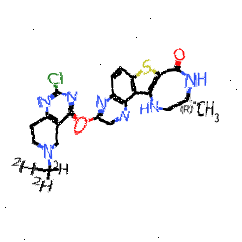 [2H]C([2H])([2H])N1CCc2nc(Cl)nc(Oc3cnc4c(ccc5sc6c(c54)NC[C@@H](C)NC6=O)n3)c2C1